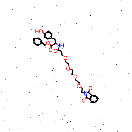 O=C(CCOCCOCCOCCOCCN1C(=O)c2ccccc2C1=O)NC(Cc1ccc(O)cc1)C(=O)OCc1ccccc1